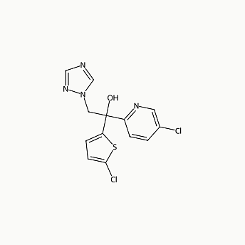 OC(Cn1cncn1)(c1ccc(Cl)cn1)c1ccc(Cl)s1